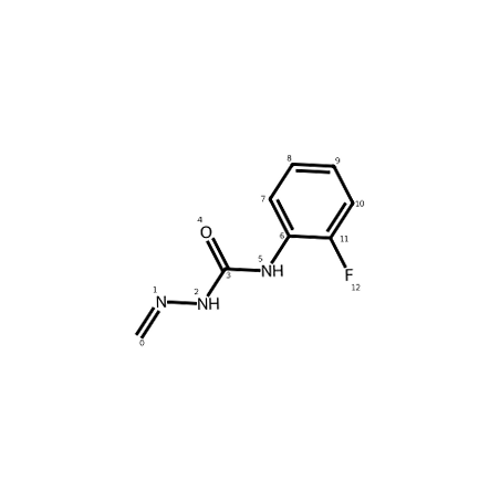 C=NNC(=O)Nc1ccccc1F